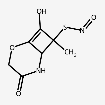 CC1(SN=O)C(O)=C2OCC(=O)NC21